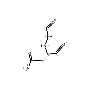 NC(=O)C[C@@H]([C]=O)NNC=O